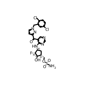 NS(=O)(=O)OC[C@H]1C[C@@H](Nc2ncncc2C(=O)c2ccn(Cc3cc(Cl)ccc3Cl)n2)[C@@H](F)[C@@H]1O